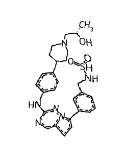 C[C@H](O)CN1CCC(c2ccc(Nc3ncc4ccc(-c5cccc(CN[SH](=O)=O)c5)n4n3)cc2)CC1